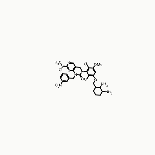 COc1cc(OCC2CCCC(N)C2N)c(Cl)c(N2Cc3cnc([S+](C)[O-])nc3N(Cc3cccc([N+](=O)[O-])c3)C2=O)c1Cl